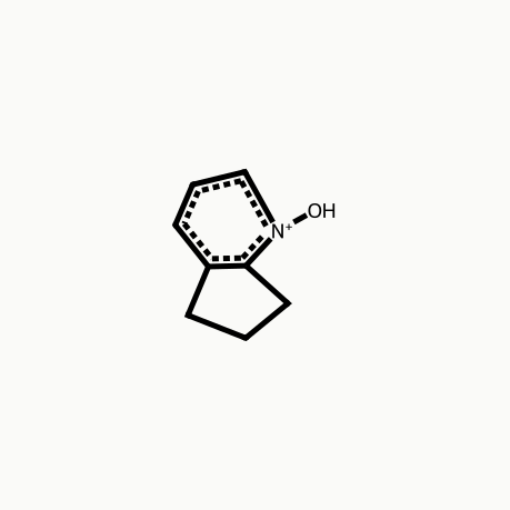 O[n+]1cccc2c1CCC2